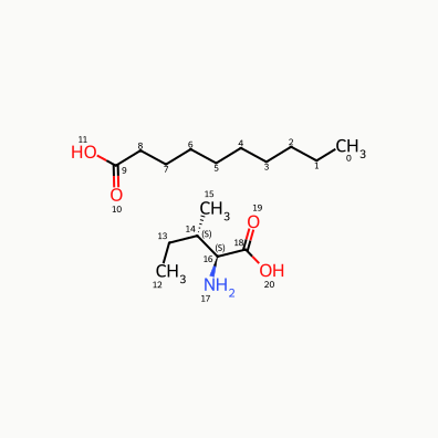 CCCCCCCCCC(=O)O.CC[C@H](C)[C@H](N)C(=O)O